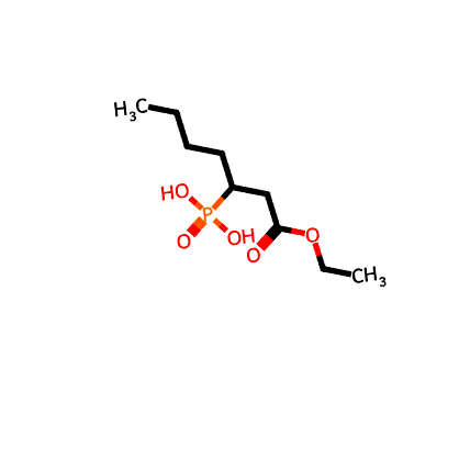 CCCCC(CC(=O)OCC)P(=O)(O)O